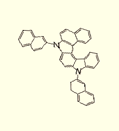 c1ccc2cc(-n3c4ccccc4c4c5c6c7ccccc7ccc6n(-c6ccc7ccccc7c6)c5ccc43)ccc2c1